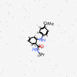 COc1ccc(Nc2ccccc2C(=O)NC(C)C)cc1